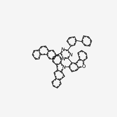 c1ccc(-c2cccc(-c3nc(-c4ccc5c(ccc6ccccc65)c4)nc(-c4c(-n5c6ccccc6c6cc7ccccc7cc65)ccc5oc6ccccc6c45)n3)c2)cc1